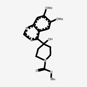 COc1cc2ncnc(C3(O)CCN(C(=O)OC(C)(C)C)CC3)c2cc1OC